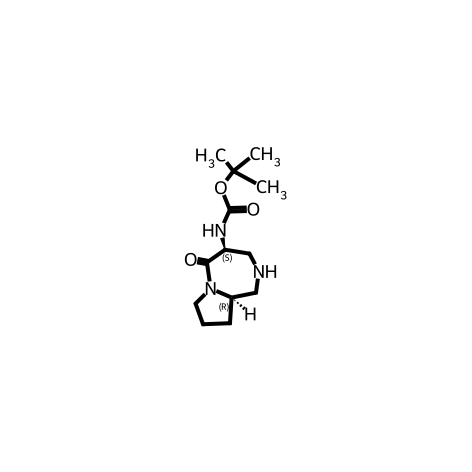 CC(C)(C)OC(=O)N[C@H]1CNC[C@H]2CCCN2C1=O